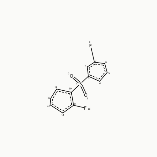 O=S(=O)(c1cccc(F)c1)c1ccccc1F